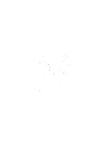 Cc1ccc(O)c(C)c1-n1c(N)c(C(N)=O)cc([C@H]2CC2(F)F)c1=O